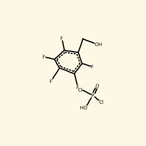 O=P(O)(Cl)Cl.OCc1c(F)c(F)c(F)c(F)c1F